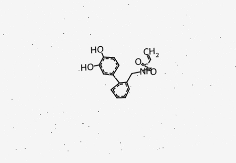 C=CS(=O)(=O)NCc1ccccc1-c1ccc(O)c(O)c1